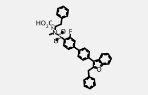 CN([C@@H](Cc1ccccc1)C(=O)O)S(=O)(=O)c1ccc(-c2ccc(-c3c(Cc4ccccc4)oc4ccccc34)cc2)cc1F